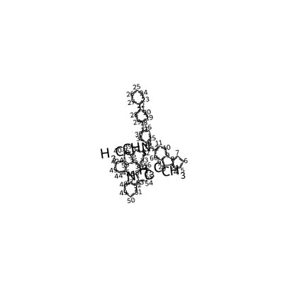 CC1(C)c2ccccc2-c2ccc(N(c3ccc(-c4ccc(-c5ccccc5)cc4)cc3)c3ccc4c(c3)C(C)(C)c3cccc(-n5c6ccccc6c6ccccc65)c3-4)cc21